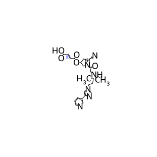 CC(C)(CCn1cnc(-c2cccnc2)c1)NCC(=O)N1CC(OC(=O)/C=C/C(=O)O)C[C@H]1C#N